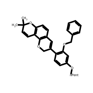 CCCCCOc1ccc(C2=Cc3ccc4c(c3OC2)C=CC(C)(C)O4)c(OCc2ccccc2)c1